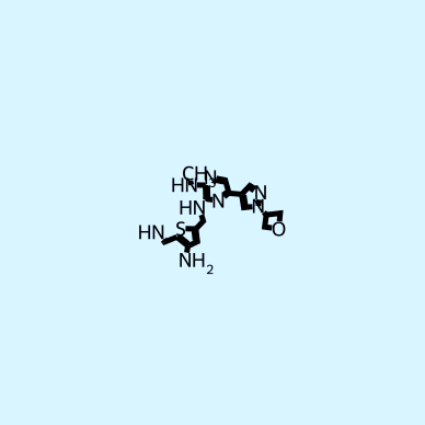 CNc1ncc(-c2cnn(C3COC3)c2)nc1NCc1cc(N)c(C=N)s1